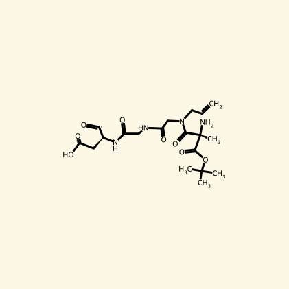 C=CCN(CC(=O)NCC(=O)N[C@H]([C]=O)CC(=O)O)C(=O)[C@](C)(N)C(=O)OC(C)(C)C